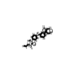 C=CCN(C)C(=O)N(C)c1ccc(Sc2cccc(C3(OC)CCOCC3)c2)cc1